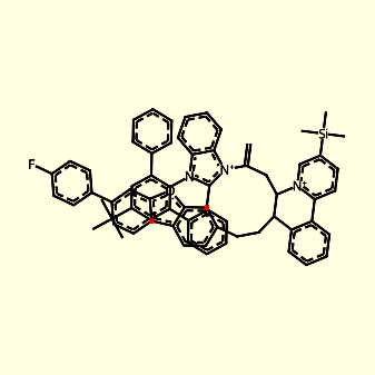 C=C1CC2C(CCc3ccc4c(oc5cc(-c6ccc(F)cc6)ccc54)c3-c3n(-c4c(-c5ccccc5)cc(C(C)(C)C)cc4-c4ccccc4)c4ccccc4[n+]31)c1ccccc1-c1ccc([Si](C)(C)C)c[n+]12